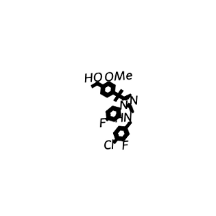 COc1cc(C(C)(C)c2cnc(CNCc3ccc(Cl)c(F)c3)n2-c2ccc(F)cc2)ccc1C(C)O